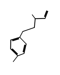 [CH]=CC(O)CCc1ccc(F)cc1